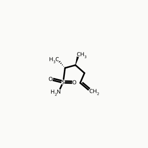 C=CC[C@H](C)[C@@H](C)S(N)(=O)=O